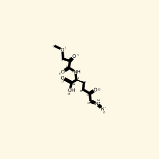 COCC(=O)C(=O)N[C@@H](CCC(=O)C=[N+]=[N-])C(=O)O